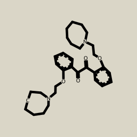 O=C(C(=O)c1ccccc1OCCN1CCCCCCC1)c1ccccc1OCCN1CCCCCCC1